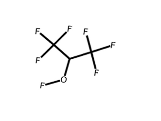 FOC(C(F)(F)F)C(F)(F)F